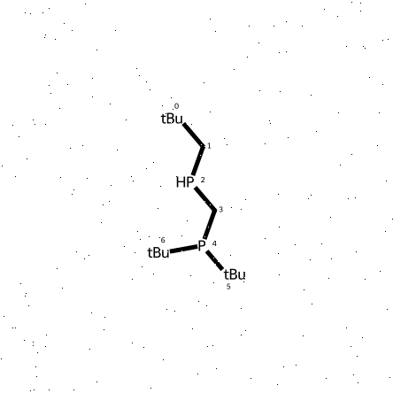 CC(C)(C)CPCP(C(C)(C)C)C(C)(C)C